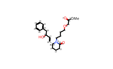 COC(=O)COCCCCN1C(=O)CCC[C@@H]1C=CC(O)Cc1ccccc1